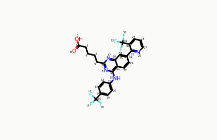 O=C(O)CCCCc1nc(Nc2ccc(C(F)(F)F)cc2)c2ccc(-c3ncccc3C(F)(F)F)cc2n1